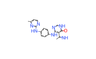 CC(=N)c1c(Nc2ccc(Nc3nccc(C)n3)cc2)nc[nH]c1=O